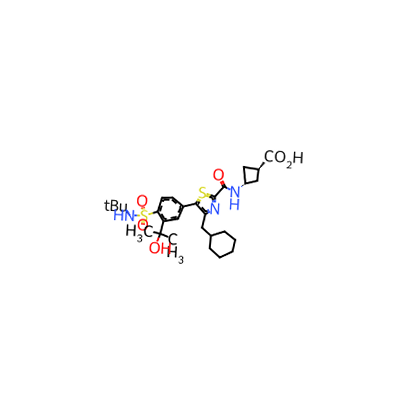 CC(C)(C)NS(=O)(=O)c1ccc(-c2sc(C(=O)N[C@H]3C[C@H](C(=O)O)C3)nc2CC2CCCCC2)cc1C(C)(C)O